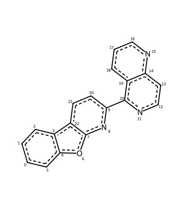 c1ccc2c(c1)oc1nc(-c3nccc4ncccc34)ccc12